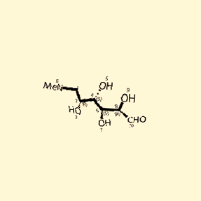 CNC[C@@H](O)[C@H](O)[C@H](O)[C@@H](O)C=O